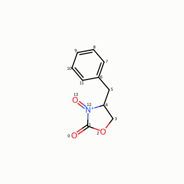 O=C1OCC(Cc2ccccc2)[N+]1=O